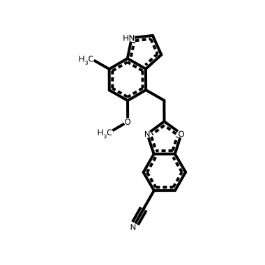 COc1cc(C)c2[nH]ccc2c1Cc1nc2cc(C#N)ccc2o1